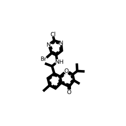 Cc1cc(C(C)Nc2cnc(Cl)nc2Br)c2oc(C(C)C)c(C)c(=O)c2c1